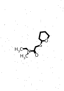 CCN(C)C(=O)CSC1CCCCO1